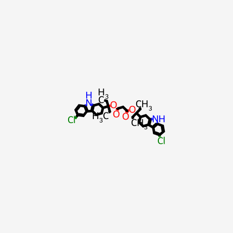 CCC(CC)(OC(=O)CC(=O)OC(CC)(CC)C1CCc2c([nH]c3ccc(Cl)cc23)C1)C1CCc2c([nH]c3ccc(Cl)cc23)C1